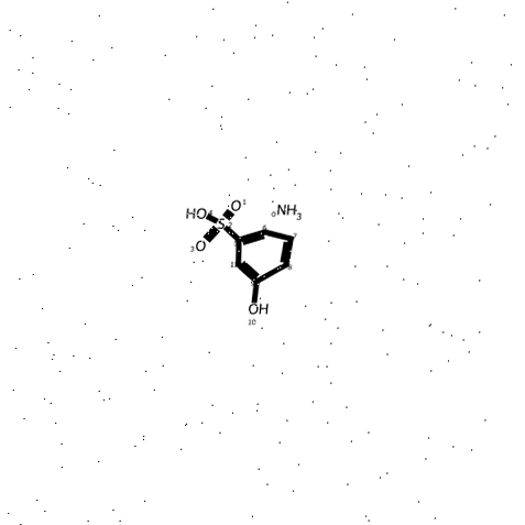 N.O=S(=O)(O)c1cccc(O)c1